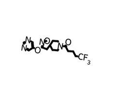 O=C(CCCC(F)(F)F)N1CCC2(CC1)CC(Oc1cncnc1)=NO2